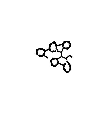 C=CC1C(C2c3ccccc3-c3ccc(-c4ccccc4C)c[n+]32)c2ccccc2-c2cccc[n+]21